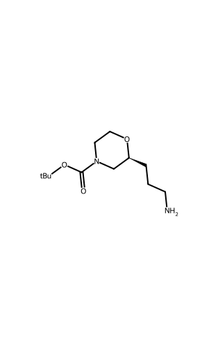 CC(C)(C)OC(=O)N1CCO[C@@H](CCCN)C1